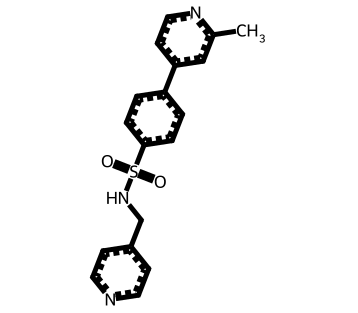 Cc1cc(-c2ccc(S(=O)(=O)NCc3ccncc3)cc2)ccn1